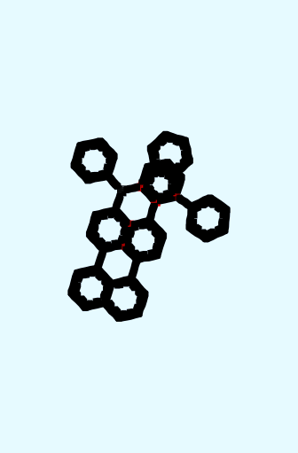 c1ccc(N(c2ccccc2)c2ccc(-c3cccc4cccc(-c5ccc(-c6nc7ccccc7n6-c6ccccc6)cc5)c34)cc2)cc1